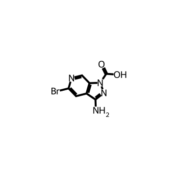 Nc1nn(C(=O)O)c2cnc(Br)cc12